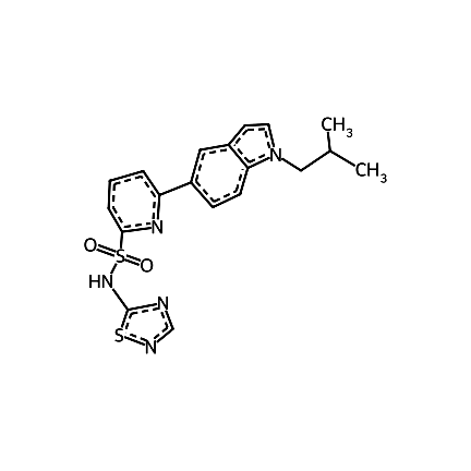 CC(C)Cn1ccc2cc(-c3cccc(S(=O)(=O)Nc4ncns4)n3)ccc21